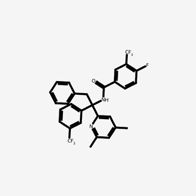 Cc1cc(C)nc(C(Cc2ccccc2)(NC(=O)c2ccc(F)c(C(F)(F)F)c2)c2cccc(C(F)(F)F)c2)c1